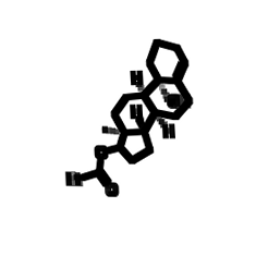 CCC(=O)OC1CC[C@H]2[C@@H]3CCC4=CCCC[C@]4(CO)[C@@H]3CC[C@]12C